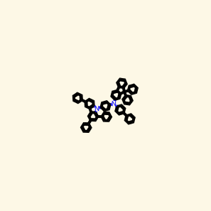 c1ccc(-c2ccc(N(c3ccc(-n4c5ccc(-c6ccccc6)cc5c5cc(-c6ccccc6)cc(-c6ccccc6)c54)cc3)c3ccc4c(c3)C(c3ccccc3)(c3ccccc3)c3ccccc3-4)cc2)cc1